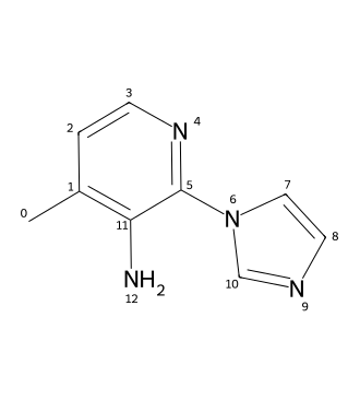 Cc1ccnc(-n2ccnc2)c1N